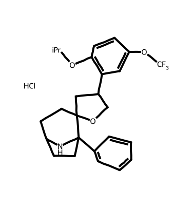 CC(C)Oc1ccc(OC(F)(F)F)cc1C1COC2(CCC3CCC2(c2ccccc2)N3)C1.Cl